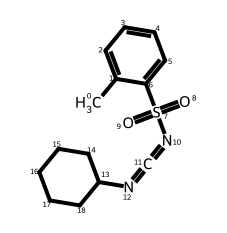 Cc1ccccc1S(=O)(=O)N=C=NC1CCCCC1